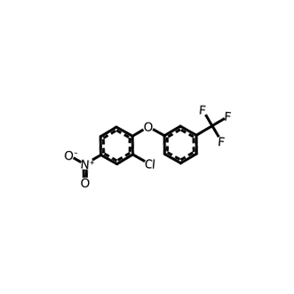 O=[N+]([O-])c1ccc(Oc2cccc(C(F)(F)F)c2)c(Cl)c1